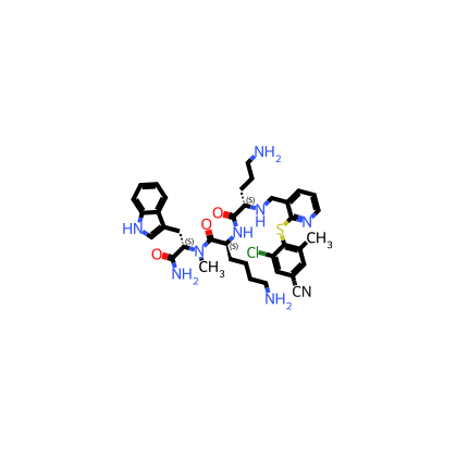 Cc1cc(C#N)cc(Cl)c1Sc1ncccc1CN[C@@H](CCCN)C(=O)N[C@@H](CCCCN)C(=O)N(C)[C@@H](Cc1c[nH]c2ccccc12)C(N)=O